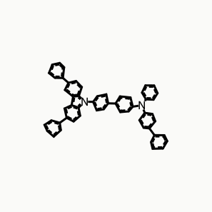 c1ccc(-c2ccc(N(c3ccccc3)c3ccc(-c4ccc(-n5c6ccc(-c7ccccc7)cc6c6cc(-c7ccccc7)ccc65)cc4)cc3)cc2)cc1